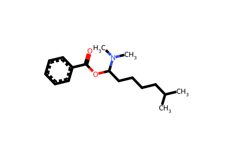 CC(C)CCCCC(OC(=O)c1ccccc1)N(C)C